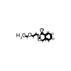 CCOCCN1OCc2ccccc2C1=O